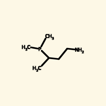 CC(CCN)P(C)C